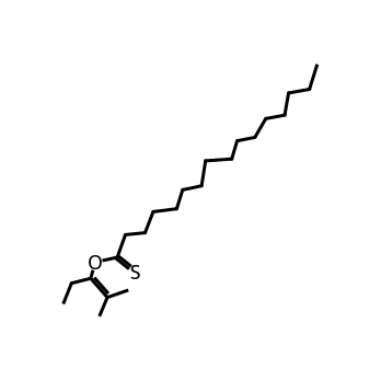 CCCCCCCCCCCCCCCC(=S)OC(CC)=C(C)C